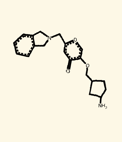 NC1CCC(COc2coc(CN3Cc4ccccc4C3)cc2=O)C1